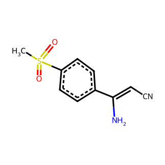 CS(=O)(=O)c1ccc(/C(N)=C/C#N)cc1